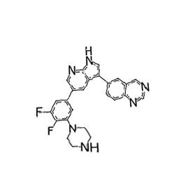 Fc1cc(-c2cnc3[nH]cc(-c4ccc5ncncc5c4)c3c2)cc(N2CCNCC2)c1F